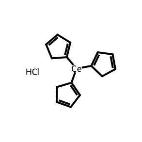 C1=CC[C]([Ce]([C]2=CC=CC2)[C]2=CC=CC2)=C1.Cl